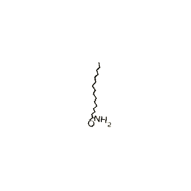 CCCCCCCCCCCCCCCC(N)C=O